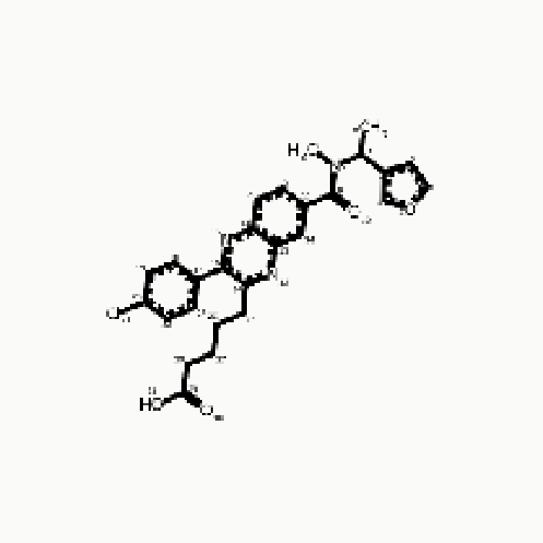 CC(c1ccoc1)N(C)C(=O)c1ccc2nc(-c3ccc(Cl)cc3)c(CCCCC(=O)O)nc2c1